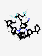 Cc1ccccc1-c1ccc2c3ccccc3n(-c3cc(C#N)c(-c4cc(C(F)(F)F)cc(C(F)(F)F)c4)cc3-n3c4ccccc4c4ccc(-c5ccccc5C)cc43)c2c1